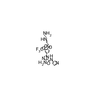 NCCNC=CCS(=O)(=O)c1ccc(-c2cnc(N)c(C(=O)Nc3cccnc3)n2)cc1OC(F)(F)F